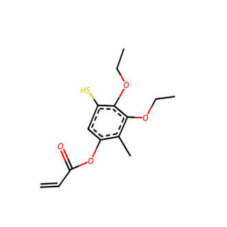 C=CC(=O)Oc1cc(S)c(OCC)c(OCC)c1C